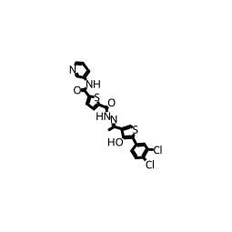 C/C(=N\NC(=O)c1ccc(C(=O)Nc2cccnc2)s1)c1csc(-c2ccc(Cl)c(Cl)c2)c1O